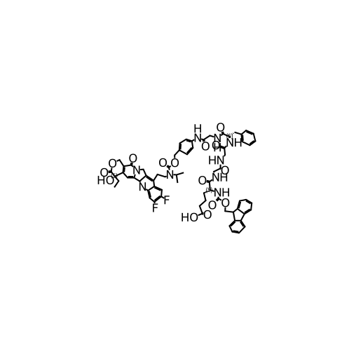 CC[C@@]1(O)C(=O)OCc2c1cc1n(c2=O)Cc2c-1nc1cc(F)c(F)cc1c2CCN(C(=O)OCc1ccc(NC(=O)CNC(=O)[C@H](Cc2ccccc2)NC(=O)CNC(=O)CNC(=O)[C@H](CCCC(=O)O)NC(=O)OCC2c3ccccc3-c3ccccc32)cc1)C(C)C